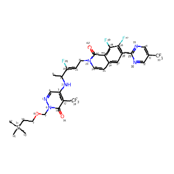 CC(Nc1cnn(COCC[Si](C)(C)C)c(=O)c1C(F)(F)F)C(F)=CCn1ccc2cc(-c3ncc(C(F)(F)F)cn3)c(F)c(F)c2c1=O